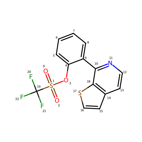 O=S(=O)(Oc1ccccc1-c1nccc2ccsc12)C(F)(F)F